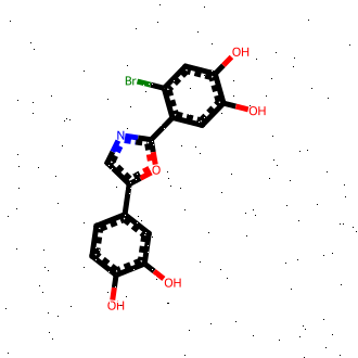 Oc1ccc(-c2cnc(-c3cc(O)c(O)cc3Br)o2)cc1O